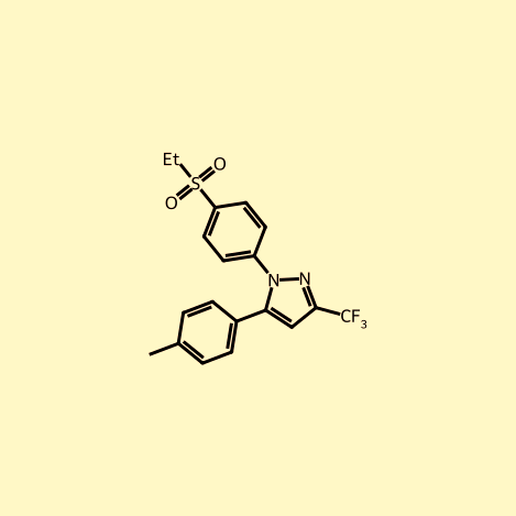 CCS(=O)(=O)c1ccc(-n2nc(C(F)(F)F)cc2-c2ccc(C)cc2)cc1